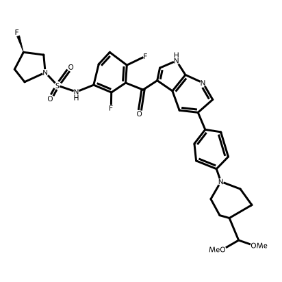 COC(OC)C1CCN(c2ccc(-c3cnc4[nH]cc(C(=O)c5c(F)ccc(NS(=O)(=O)N6CC[C@@H](F)C6)c5F)c4c3)cc2)CC1